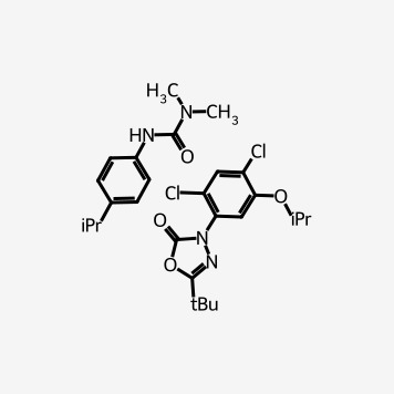 CC(C)Oc1cc(-n2nc(C(C)(C)C)oc2=O)c(Cl)cc1Cl.CC(C)c1ccc(NC(=O)N(C)C)cc1